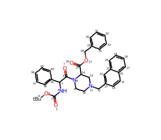 CC(C)(C)OC(=O)NC(C(=O)N1CCN(Cc2ccc3ccccc3c2)CC1C(=O)OCc1ccccc1)c1ccccc1